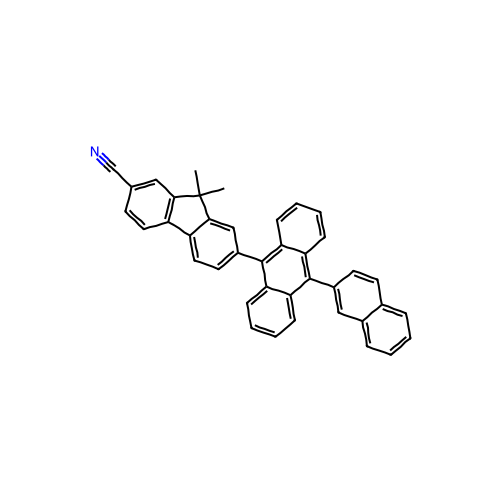 CC1(C)c2cc(C#N)ccc2-c2ccc(-c3c4ccccc4c(-c4ccc5ccccc5c4)c4ccccc34)cc21